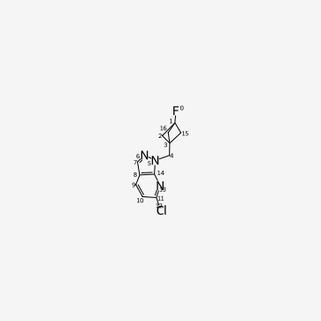 FC12CC(Cn3ncc4ccc(Cl)nc43)(C1)C2